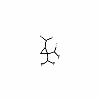 FC(F)C1CC1(C(F)F)C(F)F